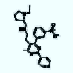 CCN1CCCC1CNCCc1c(C)nc(-c2ccccc2)nc1-c1cccc([N+](=O)[O-])c1